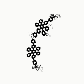 CCC(C)(C)c1ccc(-c2ccc(-c3c(-c4ccccc4)c(-c4ccccc4)c(-c4ccc(-c5ccc(Oc6ccc(-c7ccc(-c8c(-c9ccccc9)c(-c9ccccc9)c(-c9ccc(-c%10ccc(C(C)(CC)CC)c(C(F)(F)F)c%10)cc9)c(-c9cccc(C(F)(F)F)c9)c8-c8cccc(C(F)(F)F)c8)cc7)cc6C(F)(F)F)cc5)cc4)c(-c4ccccc4)c3-c3ccccc3)cc2)cc1